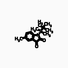 Cc1ccc2c(c1)C(=O)C(=O)N2[Si](C)(C)C(C)(C)C